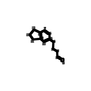 O=[C]CCCc1ccc2c(c1)CCC2